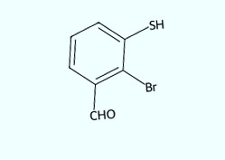 O=Cc1cccc(S)c1Br